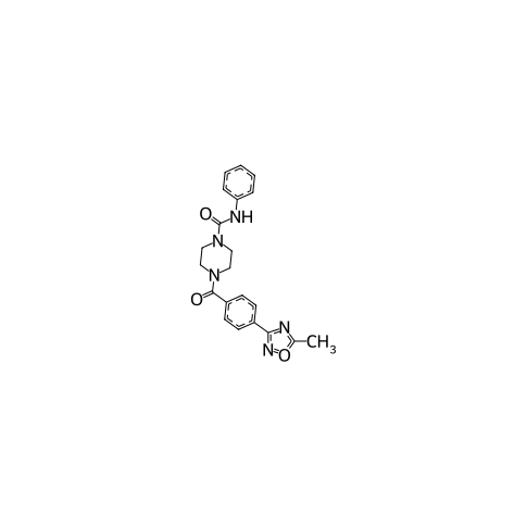 Cc1nc(-c2ccc(C(=O)N3CCN(C(=O)Nc4ccccc4)CC3)cc2)no1